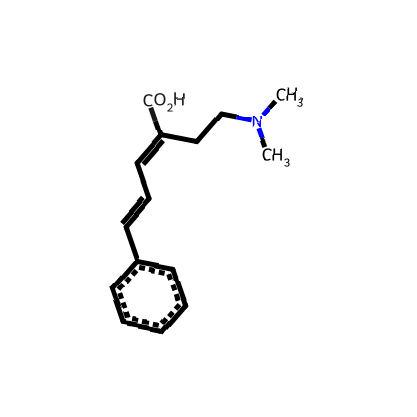 CN(C)CCC(=CC=Cc1ccccc1)C(=O)O